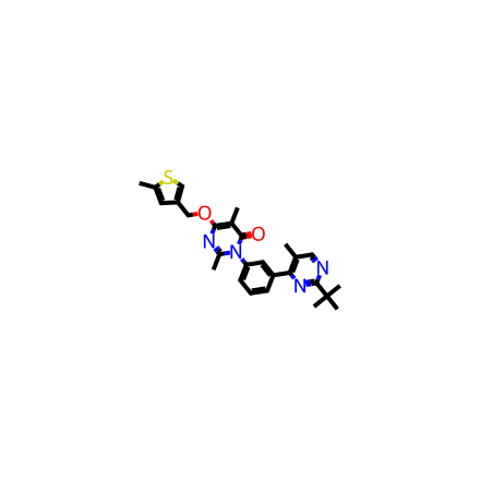 Cc1cc(COc2nc(C)n(-c3cccc(-c4nc(C(C)(C)C)ncc4C)c3)c(=O)c2C)cs1